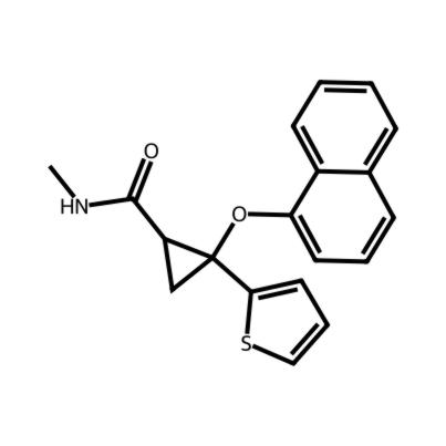 CNC(=O)C1CC1(Oc1cccc2ccccc12)c1cccs1